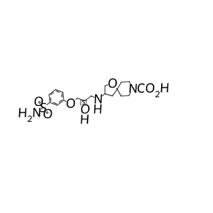 NS(=O)(=O)c1cccc(OC[C@@H](O)CNC2COC3(CCN(C(=O)O)CC3)C2)c1